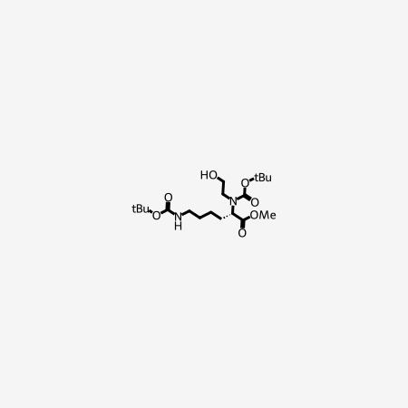 COC(=O)[C@H](CCCCNC(=O)OC(C)(C)C)N(CCO)C(=O)OC(C)(C)C